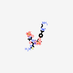 COP(=O)(O)[C@H](COc1ccc(-c2cn(CCCN)[n+](C)c2)cc1)O/N=C(\C(=O)NC1C(=O)N(OS(=O)(=O)[O-])C1(C)C)c1csc(N)n1